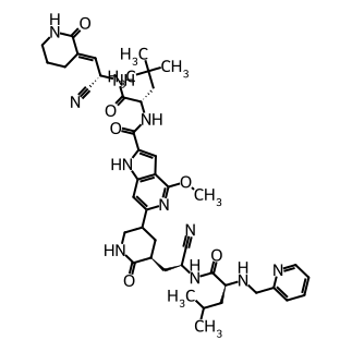 COc1nc(C2CNC(=O)[C@H](C[C@@H](C#N)NC(=O)[C@H](CC(C)C)NCc3ccccn3)C2)cc2[nH]c(C(=O)N[C@@H](CC(C)(C)C)C(=O)N[C@H](C#N)/C=C3\CCCNC3=O)cc12